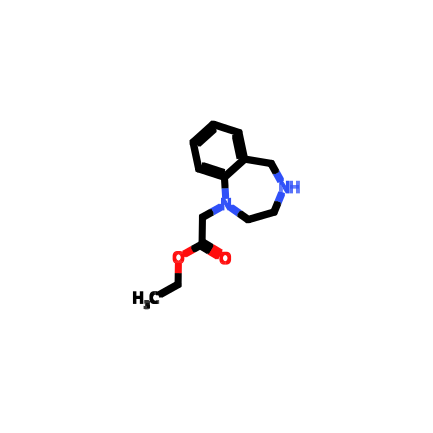 CCOC(=O)CN1CCNCc2ccccc21